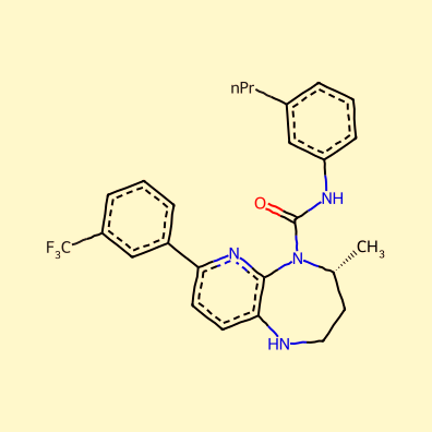 CCCc1cccc(NC(=O)N2c3nc(-c4cccc(C(F)(F)F)c4)ccc3NCC[C@H]2C)c1